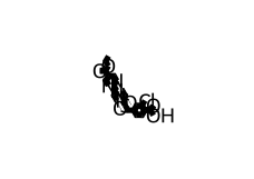 CCOC(=O)c1cnc(N2CCN(S(=O)(=O)Cc3ccc(C(=O)O)c(Cl)c3)CC2)nc1